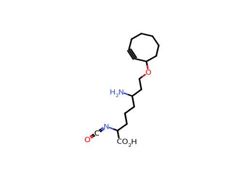 NC(CCCC(N=C=O)C(=O)O)CCOC1C#CCCCCC1